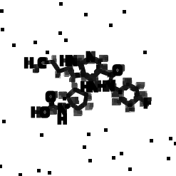 CCCc1cc2c(N[C@H]3CC[C@H](NC(=O)O)CC3)c(C(=O)Nc3ccc(F)cc3)cnc2[nH]1